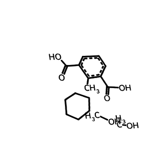 C1CCCCC1.CO.CO.Cc1c(C(=O)O)cccc1C(=O)O